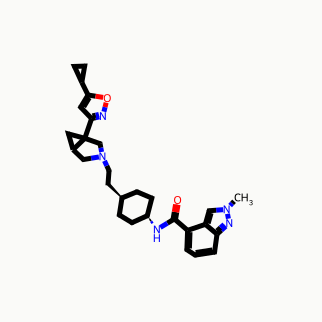 Cn1cc2c(C(=O)N[C@H]3CC[C@H](CCN4CC5CC5(c5cc(C6CC6)on5)C4)CC3)cccc2n1